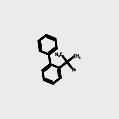 CCC(C)(C)c1ccccc1-c1ccccc1